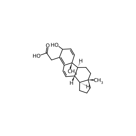 C[C@@]12CCC[C@H]1[C@@H]1C=CC3=C(CC(=O)O)C(O)C=C[C@]3(C)[C@H]1CC2